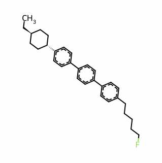 CC[C@H]1CC[C@H](c2ccc(-c3ccc(-c4ccc(CCCCCF)cc4)cc3)cc2)CC1